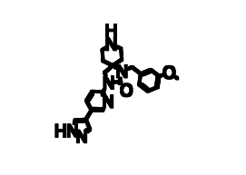 COc1cccc(CN2C(=O)N(c3ccc(-c4cn[nH]c4)cn3)CC23CCNCC3)c1